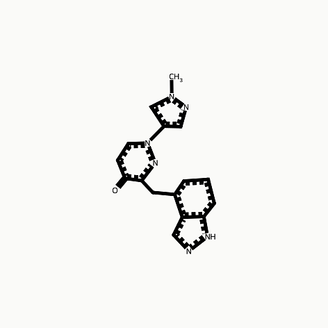 Cn1cc(-n2ccc(=O)c(Cc3cccc4[nH]ncc34)n2)cn1